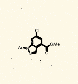 COC(=O)c1cc(Cl)cc2c1cnn2C(C)=O